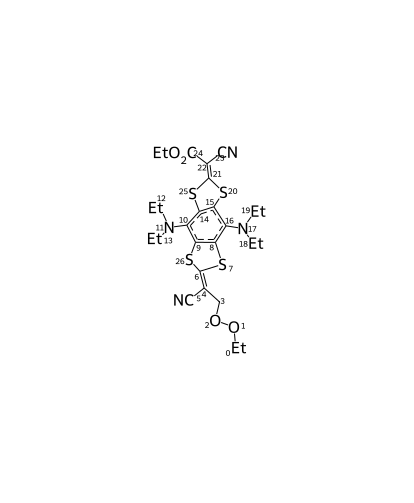 CCOOCC(C#N)=C1Sc2c(c(N(CC)CC)c3c(c2N(CC)CC)SC(=C(C#N)C(=O)OCC)S3)S1